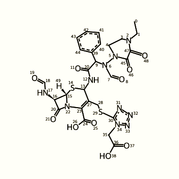 CCN1CCN(N(C=O)C(C(=O)NC2S[C@H]3[C@H](NC=O)C(=O)N3C(C(=O)O)=C2CSc2nnnn2CC(=O)O)c2ccccc2)C(=O)C1=O